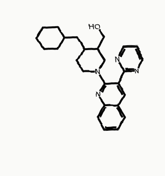 OCC1CN(c2nc3ccccc3cc2-c2ncccn2)CCC1CC1CCCCC1